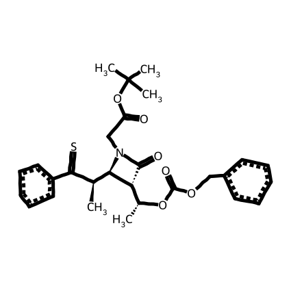 C[C@@H](OC(=O)OCc1ccccc1)[C@H]1C(=O)N(CC(=O)OC(C)(C)C)[C@@H]1[C@@H](C)C(=S)c1ccccc1